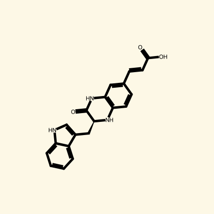 O=C(O)/C=C/c1ccc2c(c1)NC(=O)[C@H](Cc1c[nH]c3ccccc13)N2